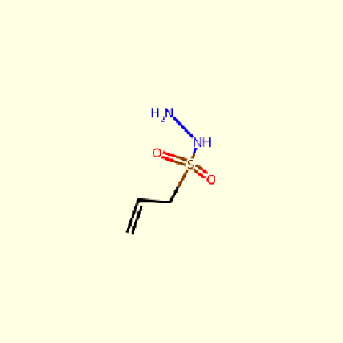 C=CCS(=O)(=O)NN